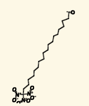 O=[C]CCCCCCCCCCCCCCCCCCC([N+](=O)[O-])([N+](=O)[O-])[N+](=O)[O-]